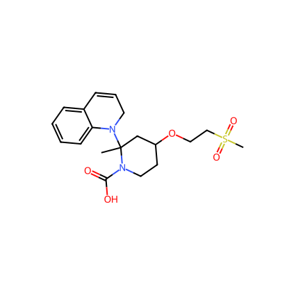 CC1(N2CC=Cc3ccccc32)CC(OCCS(C)(=O)=O)CCN1C(=O)O